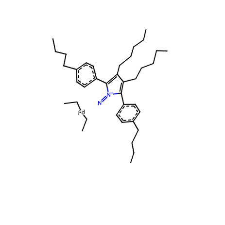 CCCCCC1=C(c2ccc(CCCC)cc2)[N+](=[N-])C(c2ccc(CCCC)cc2)=C1CCCCC.C[CH2][Pd][CH2]C